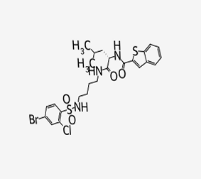 CC(C)C[C@H](NC(=O)c1cc2ccccc2s1)C(=O)NCCCCNS(=O)(=O)c1ccc(Br)cc1Cl